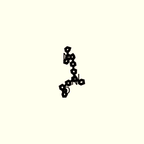 c1ccc(-c2nc(-c3ccc(-c4ccc(-c5cccc6c(-c7ccccc7)nc7ccccc7c56)cc4)cc3)cc(-c3ccc(-c4cccc5c4oc4ccccc45)cc3)n2)cc1